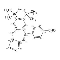 CC1(C)CCC(C)(C)c2cc3c(cc21)Sc1ccccc1N=C3c1ccc(C=O)cc1